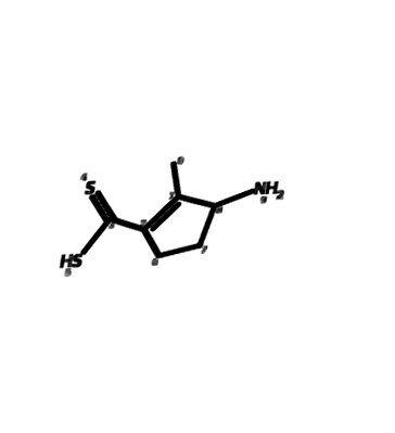 CC1=C(C(=S)S)CCC1N